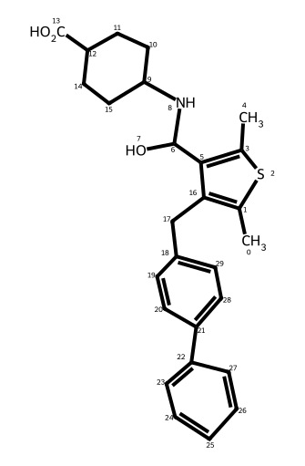 Cc1sc(C)c(C(O)NC2CCC(C(=O)O)CC2)c1Cc1ccc(-c2ccccc2)cc1